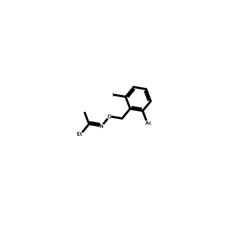 CCC(C)=NOCc1c(I)cccc1C(C)=O